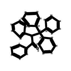 O=C(c1ccccc1)C(c1ccccc1)C(c1ccccc1)(c1ccccc1)c1ccccc1